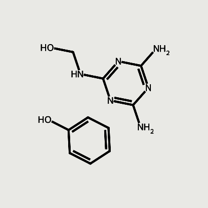 Nc1nc(N)nc(NCO)n1.Oc1ccccc1